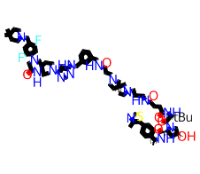 Cc1ncsc1-c1ccc([C@H](C)NC(=O)[C@@H]2C[C@@H](O)CN2C(=O)[C@@H](NC(=O)CCC(=O)NCCCN2CC[C@@]3(CCN(CCC(=O)NCc4cccc(CNc5cc(N6CCC7(CC6)CN(c6cc(F)c(CN8CCC(C)(C)CC8)cc6F)CC(=O)N7)ncn5)c4)C3)C2)C(C)(C)C)cc1